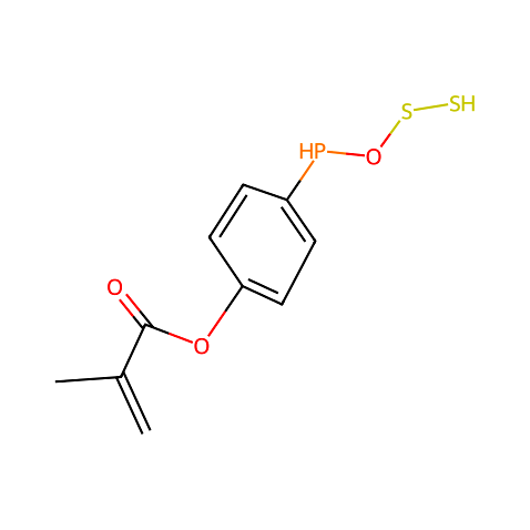 C=C(C)C(=O)Oc1ccc(POSS)cc1